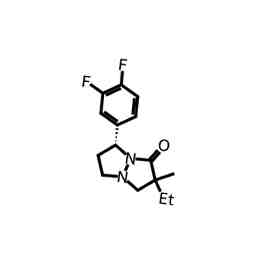 CCC1(C)CN2CC[C@H](c3ccc(F)c(F)c3)N2C1=O